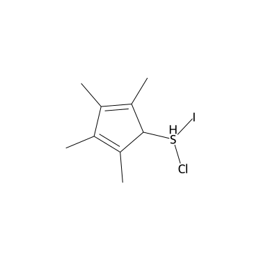 CC1=C(C)C([SH](Cl)I)C(C)=C1C